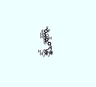 CN(CCCN(CCCN)Cc1ccc(-c2c[nH]c(NC(=O)Nc3cc(F)c(F)cc3F)nc2=O)cc1)C(=N)N